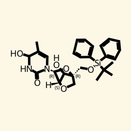 CC1=CN([C@@H]2O[C@@]3(CO[Si](c4ccccc4)(c4ccccc4)C(C)(C)C)CO[C@H]2C3O)C(=O)NC1O